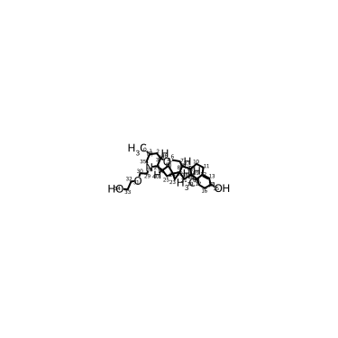 C[C@H]1C[C@H]2O[C@@]34CC[C@H]5[C@@H]6CCC7=C[C@@H](O)CC[C@]7(C)[C@H]6CC56CC63C[C@@H]4C2N(CCOCCO)C1